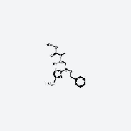 CC(C)[C@@H](C[C@@H](OCc1ccccc1)c1nc(C(=O)O)cs1)N(C)C(=O)OC(C)(C)C